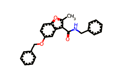 Cc1oc2ccc(OCc3ccccc3)cc2c1C(=O)NCc1ccccc1